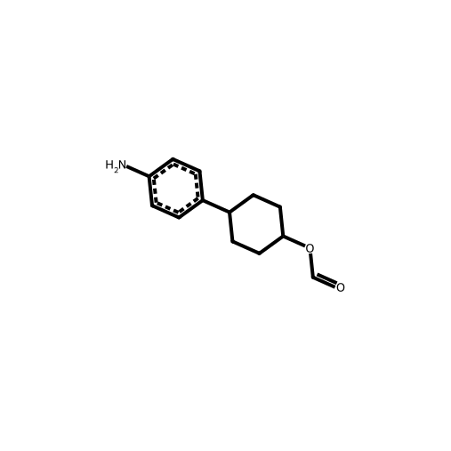 Nc1ccc(C2CCC(OC=O)CC2)cc1